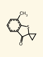 Cc1cccc2c1SC1(CC1)C2=O